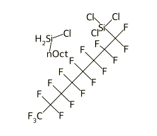 CCCCCCCC[SiH2]Cl.FC(F)(F)C(F)(F)C(F)(F)C(F)(F)C(F)(F)C(F)(F)C(F)(F)C(F)(F)[Si](Cl)(Cl)Cl